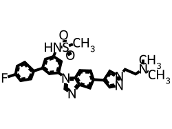 CN(C)CCn1cc(-c2ccc3c(c2)ncn3-c2cc(NS(C)(=O)=O)cc(-c3ccc(F)cc3)c2)cn1